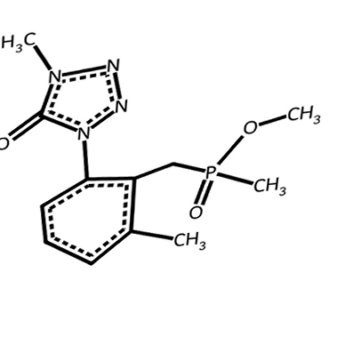 COP(C)(=O)Cc1c(C)cccc1-n1nnn(C)c1=O